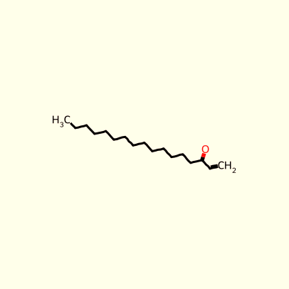 C=CC(=O)CCCCCCCCCCCCCC